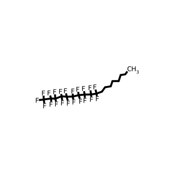 CCCCCCCCC(F)(F)C(F)(F)C(F)(F)C(F)(F)C(F)(F)C(F)(F)C(F)(F)C(F)(F)C(F)(F)C(F)(F)F